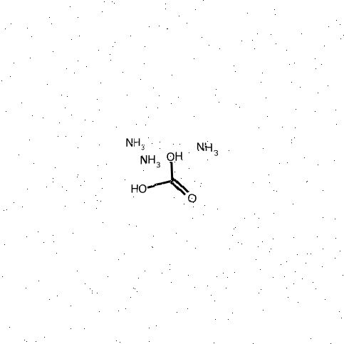 N.N.N.O=C(O)O